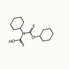 OC(=S)N(C(=S)OC1CCCCC1)C1CCCCC1